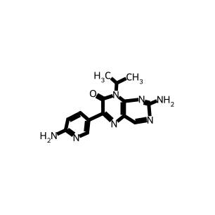 CC(C)n1c(=O)c(-c2ccc(N)nc2)nc2cnc(N)nc21